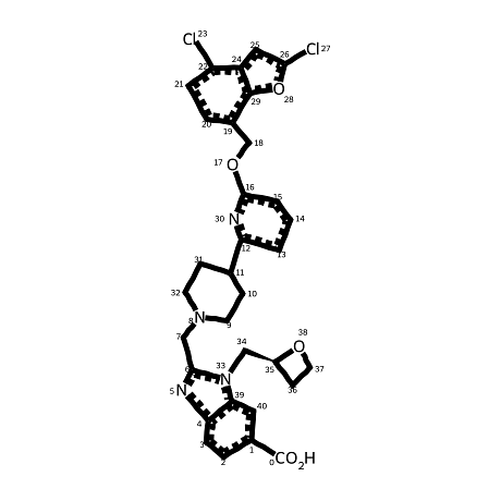 O=C(O)c1ccc2nc(CN3CCC(c4cccc(OCc5ccc(Cl)c6cc(Cl)oc56)n4)CC3)n(C[C@@H]3CCO3)c2c1